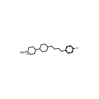 CCC[SiH]1CCC(C2CCC(CCCCc3ccc(Cl)cc3)CC2)CC1